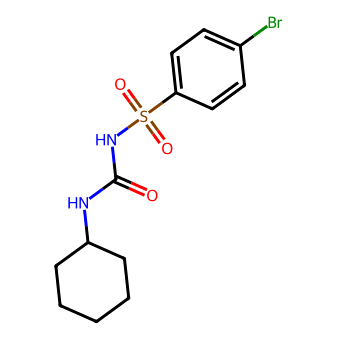 O=C(NC1CCCCC1)NS(=O)(=O)c1ccc(Br)cc1